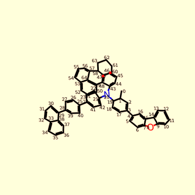 CC1C=C(c2ccc3oc4ccccc4c3c2)C=CC1N(c1ccc(-c2ccc(-c3cccc4ccccc34)cc2)cc1)c1ccccc1-c1cccc2cccc(C3CCCCC3)c12